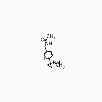 CNC1(c2ccc(CNC(C)=O)cn2)CC1